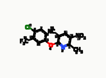 Cc1nc(Oc2ccc(Cl)c(C(F)(F)F)c2)c(C#N)cc1[N+](=O)[O-]